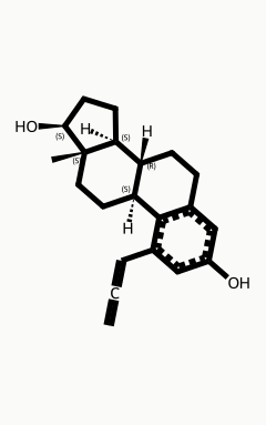 C=C=Cc1cc(O)cc2c1[C@H]1CC[C@]3(C)[C@@H](O)CC[C@H]3[C@@H]1CC2